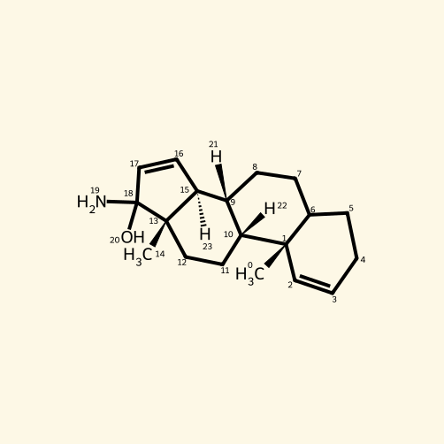 C[C@]12C=CCCC1CC[C@@H]1[C@H]2CC[C@@]2(C)[C@H]1C=CC2(N)O